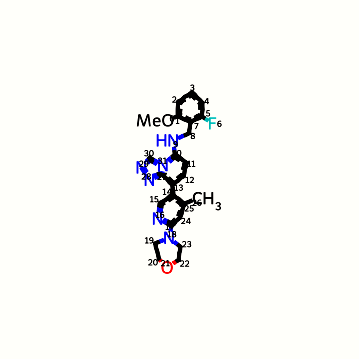 COc1cccc(F)c1CNc1ccc(-c2cnc(N3CCOCC3)cc2C)c2nncn12